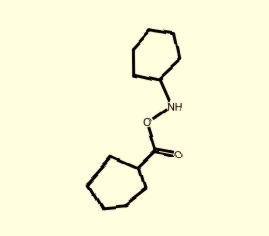 O=C(ONC1CCCCC1)C1CCCCC1